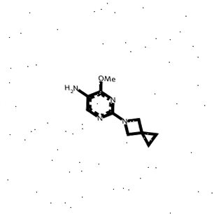 COc1nc(N2CC3(CC3)C2)ncc1N